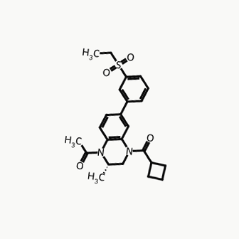 CCS(=O)(=O)c1cccc(-c2ccc3c(c2)N(C(=O)C2CCC2)C[C@H](C)N3C(C)=O)c1